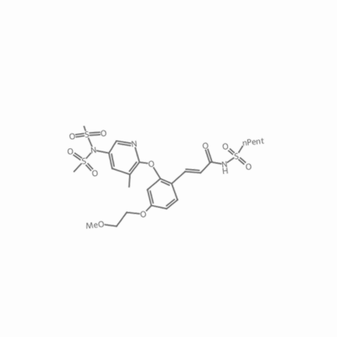 CCCCCS(=O)(=O)NC(=O)/C=C/c1ccc(OCCOC)cc1Oc1ncc(N(S(C)(=O)=O)S(C)(=O)=O)cc1C